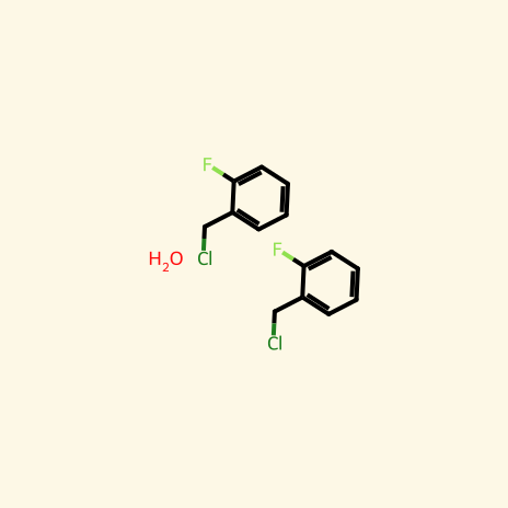 Fc1ccccc1CCl.Fc1ccccc1CCl.O